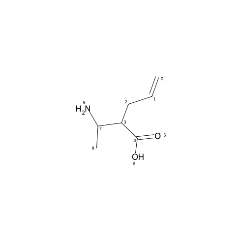 C=CCC(C(=O)O)C(C)N